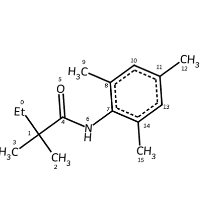 CCC(C)(C)C(=O)Nc1c(C)cc(C)cc1C